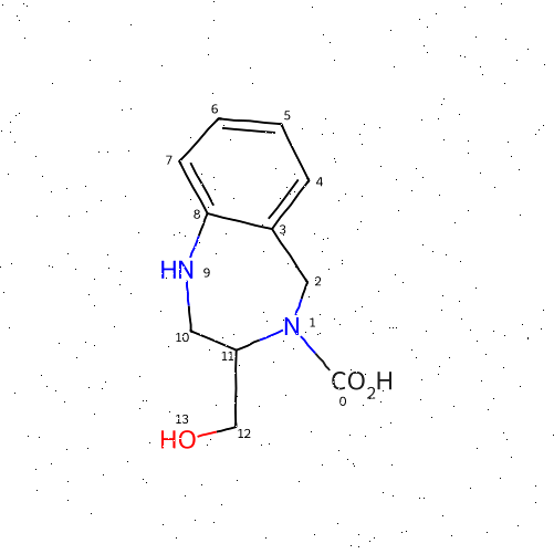 O=C(O)N1Cc2ccccc2NCC1CO